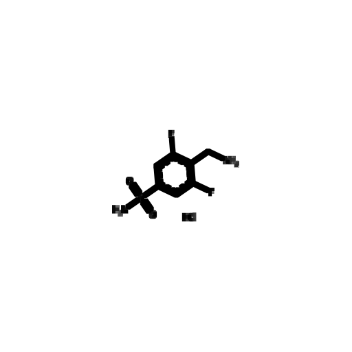 Cl.NCc1c(F)cc(S(N)(=O)=O)cc1F